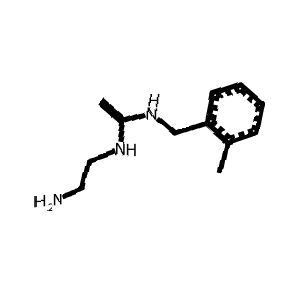 C=C(NCCN)NCc1ccccc1C